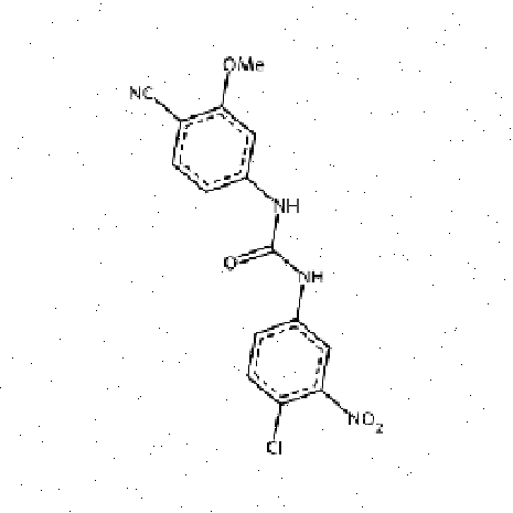 COc1cc(NC(=O)Nc2ccc(Cl)c([N+](=O)[O-])c2)ccc1C#N